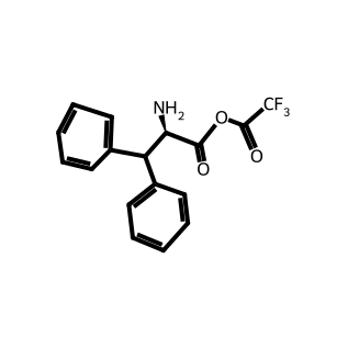 N[C@@H](C(=O)OC(=O)C(F)(F)F)C(c1ccccc1)c1ccccc1